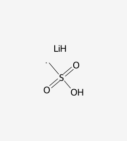 [CH2]S(=O)(=O)O.[LiH]